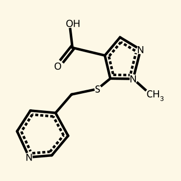 Cn1ncc(C(=O)O)c1SCc1ccncc1